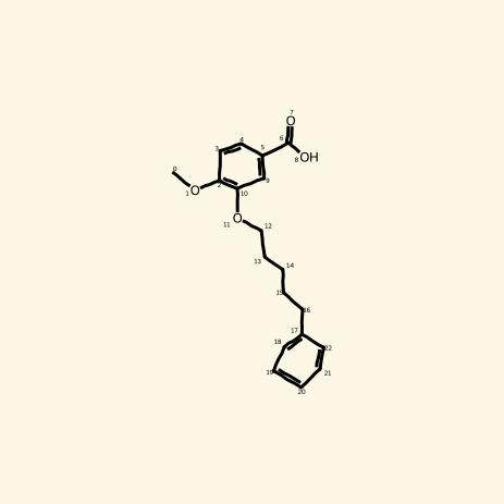 COc1ccc(C(=O)O)cc1OCCCCCc1ccccc1